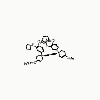 COC1=CCC(C#CC#CC2(c3ccc(OC)c(OC4CCCC4)c3)CC=C(OC)CC2)(c2ccc(OC)c(OC3CCCC3)c2)CC1